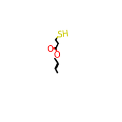 CC=CCOC(=O)CCS